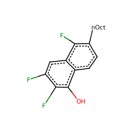 CCCCCCCCc1ccc2c(O)c(F)c(F)cc2c1F